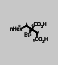 CCCCCCCC(CC)(CC(=O)O)C(=O)O